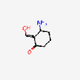 NC1CCCC(=O)C1=CO